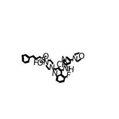 Cc1c(N2CCN(S(=O)(=O)CC(F)=Cc3ccccc3)CC2)nc2cccc(F)c2c1Nc1cncc(N2CCOCC2)c1